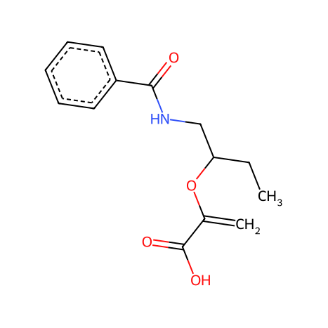 C=C(OC(CC)CNC(=O)c1ccccc1)C(=O)O